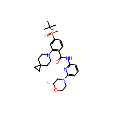 C[C@@H]1CN(c2cccc(NC(=O)c3ccc([SH](=O)(I)C(C)(C)C)cc3N3CCC4(CC3)CC4)n2)CCO1